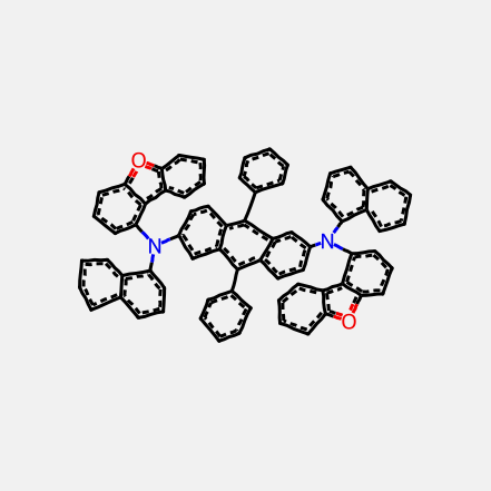 c1ccc(-c2c3ccc(N(c4cccc5ccccc45)c4cccc5oc6ccccc6c45)cc3c(-c3ccccc3)c3ccc(N(c4cccc5ccccc45)c4cccc5oc6ccccc6c45)cc23)cc1